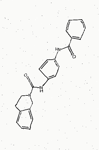 O=C(Nc1ccc(NC(=O)N2CCc3ccccc3C2)cc1)c1ccccc1